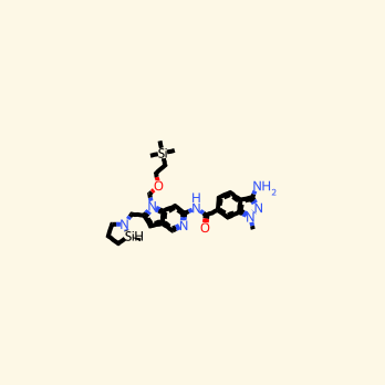 Cn1nc(N)c2ccc(C(=O)Nc3cc4c(cn3)cc(CN3CCC[Si@@H]3C)n4COCC[Si](C)(C)C)cc21